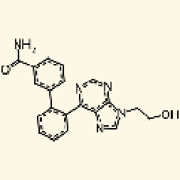 NC(=O)c1cccc(-c2ccccc2-c2ncnc3c2ncn3CCO)c1